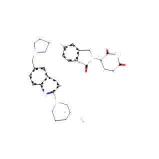 CO[C@@H]1CCCN(c2ccc3cc(CN4CC[C@H](Oc5ccc6c(c5)CN(C5CCC(=O)NC5=O)C6=O)C4)ccc3n2)C1